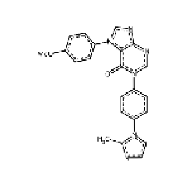 COc1ccc(-n2cnc3ncn(-c4ccc(-n5ccnc5C)cc4)c(=O)c32)cc1